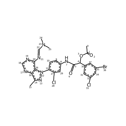 CC(=O)OC(C(=O)Nc1ccc(-n2nc(C)c3ncnc(N=CN(C)C)c32)c(Cl)c1)c1cc(Cl)cc(Br)c1